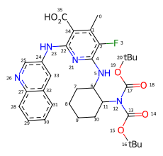 Cc1c(F)c(NC2CCCCC2N(C(=O)OC(C)(C)C)C(=O)OC(C)(C)C)nc(Nc2cnc3ccccc3c2)c1C(=O)O